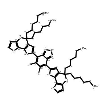 CCCCCCCCCCCCCCCC1(CCCCCCCCCCCCCCC)Oc2ccsc2-c2sc(-c3c(F)c(F)c(-c4cc5c(s4)-c4sccc4OC5(CCCCCCCCCCCCCCC)CCCCCCCCCCCCCCC)c4nsnc34)cc21